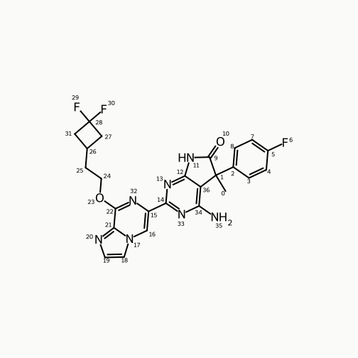 CC1(c2ccc(F)cc2)C(=O)Nc2nc(-c3cn4ccnc4c(OCCC4CC(F)(F)C4)n3)nc(N)c21